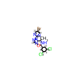 CC(NC(=O)c1cc(Cl)cc(Cl)c1)c1ncnn1-c1ncc(Br)cn1